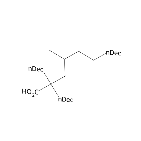 CCCCCCCCCCCCC(C)CC(CCCCCCCCCC)(CCCCCCCCCC)C(=O)O